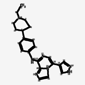 FC(F)(F)CN1CCC(c2ccc(Nc3ncc(-c4cn[nH]c4)n4ccnc34)cc2)CC1